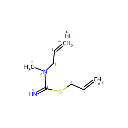 C=CCSC(=N)N(C)CC=C.I